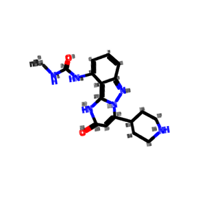 CCCCNC(=O)Nc1cccc2nn3c(C4CCNCC4)cc(=O)[nH]c3c12